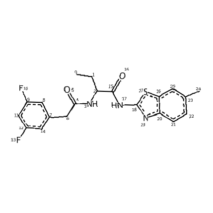 CCC(NC(=O)Cc1cc(F)cc(F)c1)C(=O)Nc1nc2ccc(C)cc2s1